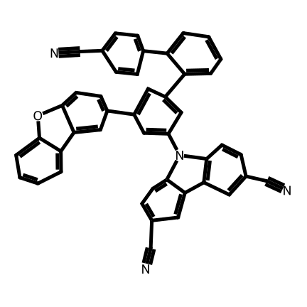 N#Cc1ccc(-c2ccccc2-c2cc(-c3ccc4oc5ccccc5c4c3)cc(-n3c4ccc(C#N)cc4c4cc(C#N)ccc43)c2)cc1